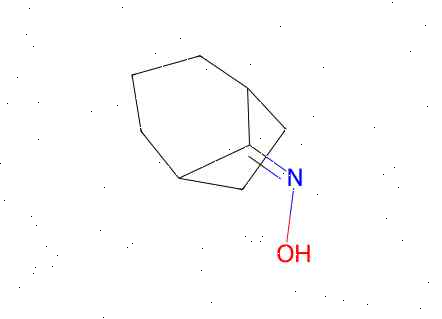 ON=C1C2CCCC1CC2